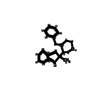 CC1(C2COCCN2Cc2ccccc2)C=c2ccccc2=N1